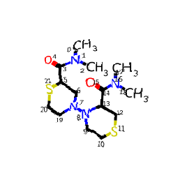 CN(C)C(=O)C1CN(N2CCSCC2C(=O)N(C)C)CCS1